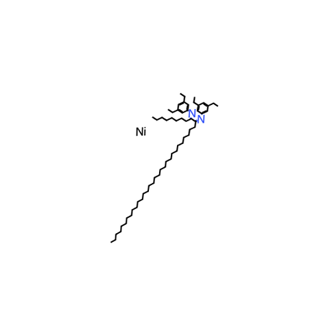 CCCCCCCCCCCCCCCCCCCCCCCCCCCCCCC(=Nc1cc(CC)cc(CC)c1)C(CCCCCCCC)=Nc1cc(CC)cc(CC)c1.[Ni]